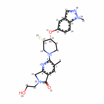 Cc1cc2c(nc1N1CC[C@@H](Oc3ccc4c(cnn4C)c3)[C@@H](F)C1)CN(CCO)C2=O